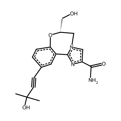 CC(C)(O)C#Cc1ccc2c(c1)-c1nc(C(N)=O)cn1C[C@@H](CO)O2